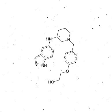 OCCOc1ccc(CN2CCCC(Nc3ccc4[nH]ncc4c3)C2)cc1